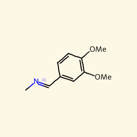 C/N=C/c1ccc(OC)c(OC)c1